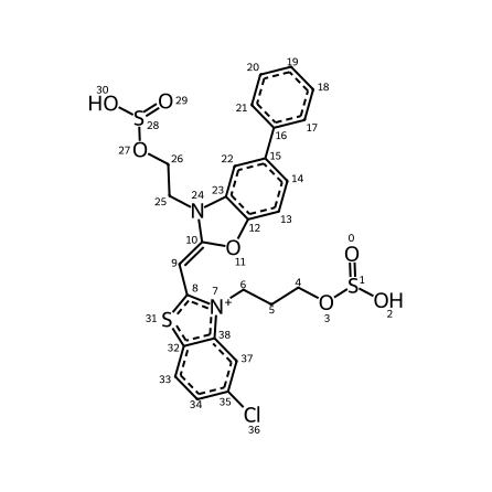 O=S(O)OCCC[n+]1c(C=C2Oc3ccc(-c4ccccc4)cc3N2CCOS(=O)O)sc2ccc(Cl)cc21